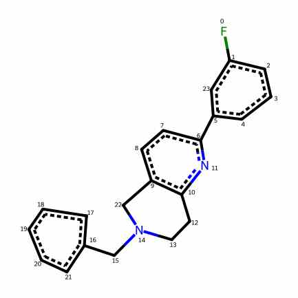 Fc1cccc(-c2ccc3c(n2)CCN(Cc2ccccc2)C3)c1